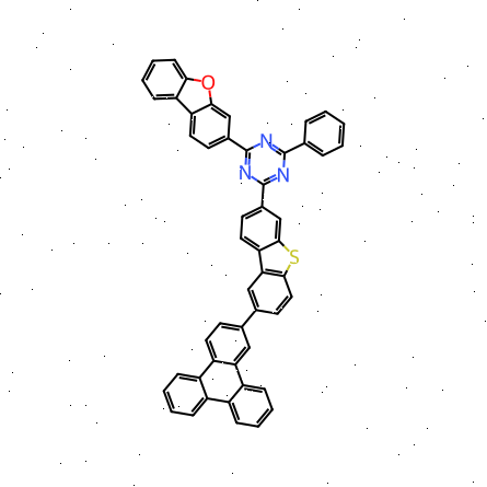 c1ccc(-c2nc(-c3ccc4c(c3)oc3ccccc34)nc(-c3ccc4c(c3)sc3ccc(-c5ccc6c7ccccc7c7ccccc7c6c5)cc34)n2)cc1